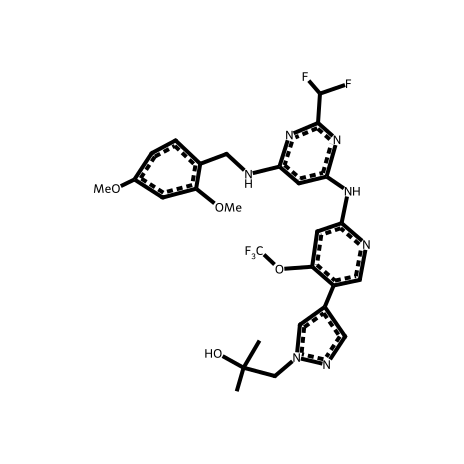 COc1ccc(CNc2cc(Nc3cc(OC(F)(F)F)c(-c4cnn(CC(C)(C)O)c4)cn3)nc(C(F)F)n2)c(OC)c1